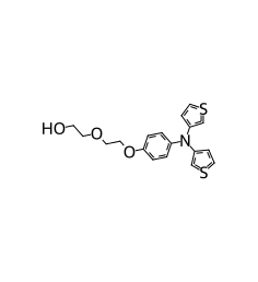 OCCOCCOc1ccc(N(c2ccsc2)c2ccsc2)cc1